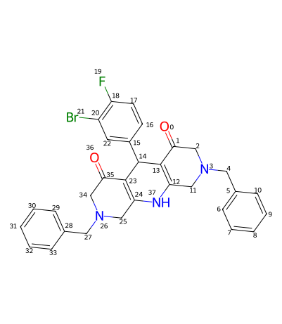 O=C1CN(Cc2ccccc2)CC2=C1C(c1ccc(F)c(Br)c1)C1=C(CN(Cc3ccccc3)CC1=O)N2